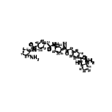 Nc1ccccc1NC(=O)c1ccc(CC(=O)Nc2cccc(NC(=O)Cc3ccc(C(=O)Nc4ccccc4N)cc3)c2)cc1